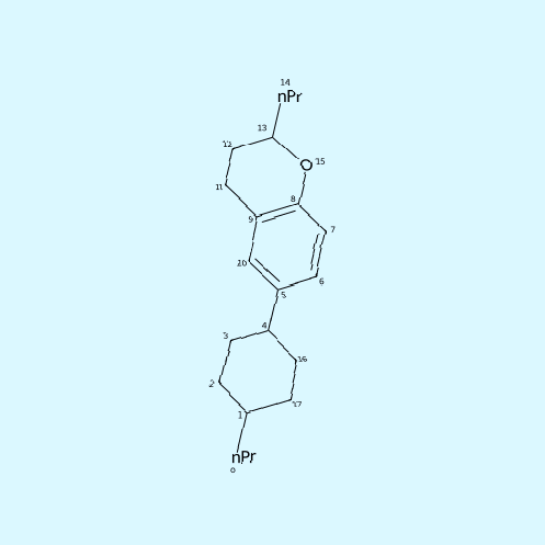 CCCC1CCC(c2ccc3c(c2)CCC(CCC)O3)CC1